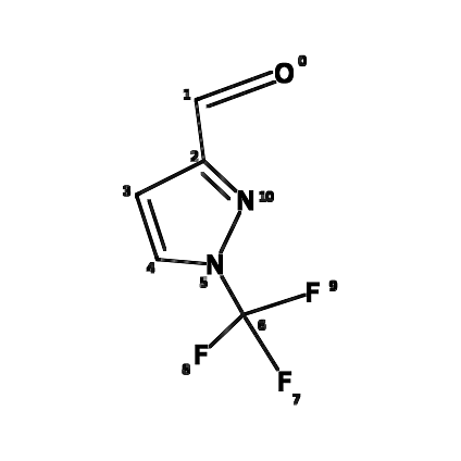 O=Cc1ccn(C(F)(F)F)n1